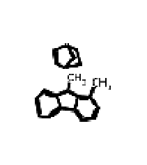 C1=CC2CCC1C2.Cc1cccc2c1C(C)c1ccccc1-2